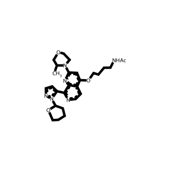 CC(=O)NCCCCOc1cc(N2CCOCC2C)nc2c(-c3ccnn3C3CCCCO3)nccc12